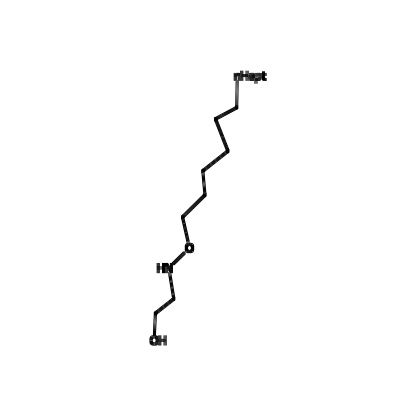 CCCCCCCCCCCCCONCCO